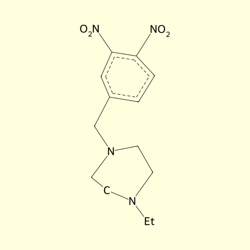 CCN1CCN(Cc2ccc([N+](=O)[O-])c([N+](=O)[O-])c2)CC1